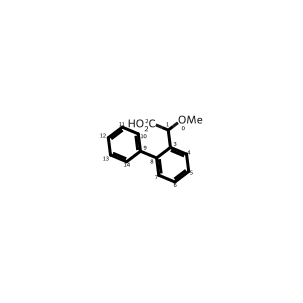 COC(C(=O)O)c1ccccc1-c1ccccc1